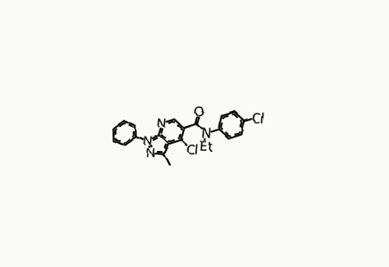 CCN(C(=O)c1cnc2c(c(C)nn2-c2ccccc2)c1Cl)c1ccc(Cl)cc1